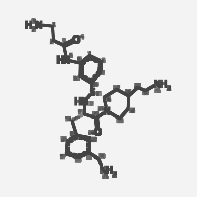 NCCC(=O)Nc1cccc(SN[C@@H](Cc2cccc(CN)c2)C(=O)N2CCC(CCN)CC2)c1